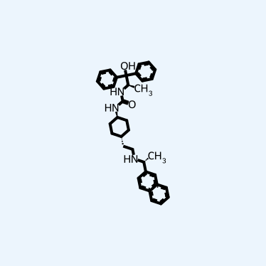 C[C@@H](NCC[C@H]1CC[C@H](NC(=O)N[C@H](C)C(O)(c2ccccc2)c2ccccc2)CC1)c1ccc2ccccc2c1